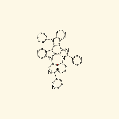 c1ccc(-c2nc3c4c5ccccc5n(-c5ccccc5)c4c4c5ccccc5n(-c5ccc(-c6cccnc6)nc5)c4c3n2-c2ccccc2)cc1